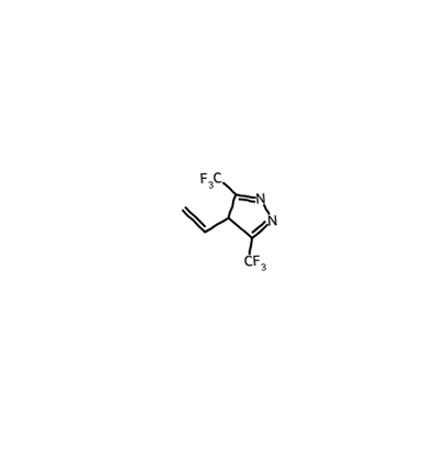 C=CC1C(C(F)(F)F)=NN=C1C(F)(F)F